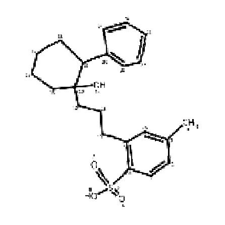 Cc1ccc(S(=O)(=O)O)c(CCCC2(O)CCCCC2c2ccccc2)c1